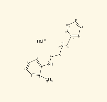 Cc1ccccc1NCCNCc1ccccc1.Cl